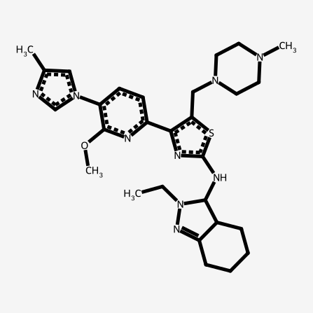 CCN1N=C2CCCCC2C1Nc1nc(-c2ccc(-n3cnc(C)c3)c(OC)n2)c(CN2CCN(C)CC2)s1